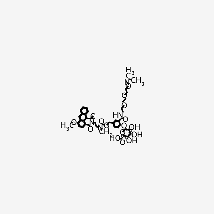 COc1ccc2c3c(c4ccccc4cc13)C(=O)N(CCN(C)C(=O)OCc1ccc(O[C@@H]3O[C@H](C(=O)O)[C@@H](O)[C@H](O)[C@H]3O)c(C(=O)NCCOCCOCCON=C(C)C)c1)C2=O